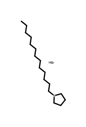 Br.CCCCCCCCCCCCCN1CCCC1